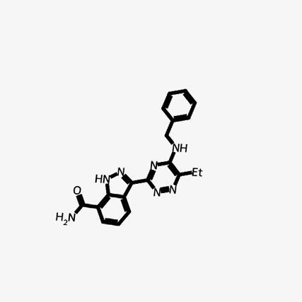 CCc1nnc(-c2n[nH]c3c(C(N)=O)cccc23)nc1NCc1ccccc1